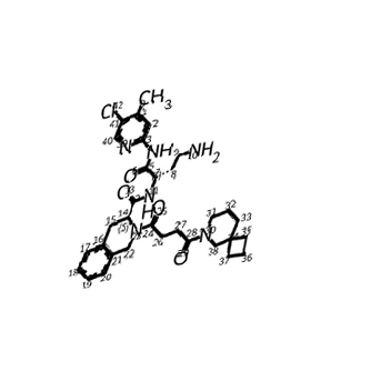 Cc1cc(NC(=O)[C@H](CCN)NC(=O)[C@@H]2Cc3ccccc3CN2C(=O)CCC(=O)N2CCCC3(CCC3)C2)ncc1Cl